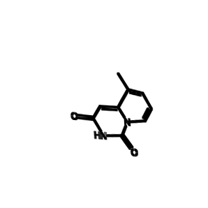 Cc1cccn2c(=O)[nH]c(=O)cc12